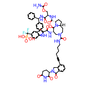 NC(=O)OCC(NC(=O)[C@@H]1CC[C@@H]2CCN(C(=O)NCCCCC#Cc3cccc4c3CN(C3CCC(=O)NC3=O)C4=O)C[C@H](NC(=O)c3cc4cc(C(F)(F)P(=O)(O)O)ccc4[nH]3)C(=O)N21)C(=O)NC(c1ccccc1)c1ccccc1